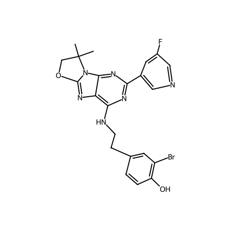 CC1(C)COc2nc3c(NCCc4ccc(O)c(Br)c4)nc(-c4cncc(F)c4)nc3n21